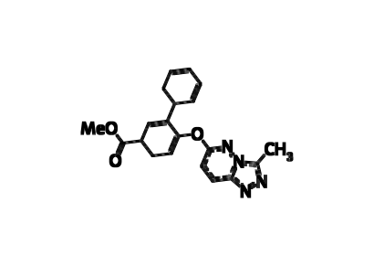 COC(=O)C1C=C(C2C=CC=CC2)C(Oc2ccc3nnc(C)n3n2)=CC1